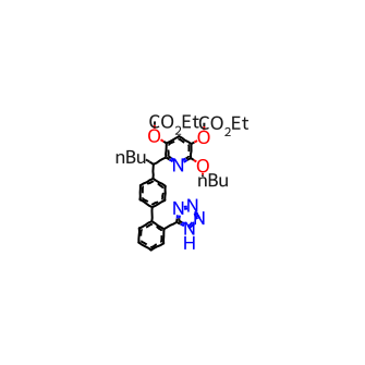 CCCCOc1nc(C(CCCC)c2ccc(-c3ccccc3-c3nnn[nH]3)cc2)c(OC(=O)OCC)cc1OC(=O)OCC